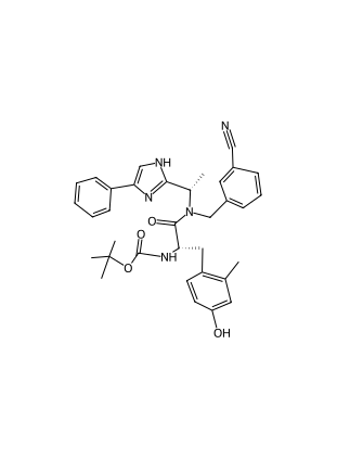 Cc1cc(O)ccc1C[C@H](NC(=O)OC(C)(C)C)C(=O)N(Cc1cccc(C#N)c1)[C@@H](C)c1nc(-c2ccccc2)c[nH]1